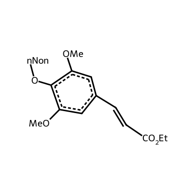 CCCCCCCCCOc1c(OC)cc(C=CC(=O)OCC)cc1OC